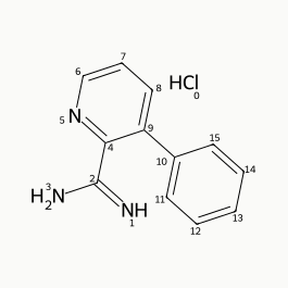 Cl.N=C(N)c1ncccc1-c1ccccc1